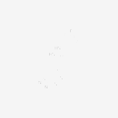 O=C(Nc1cccc(Oc2cc(-c3ncno3)ncn2)c1)Nc1ccc(Cl)c(C(F)(F)F)c1